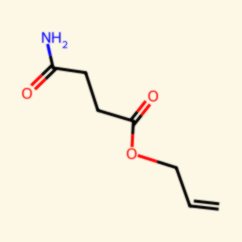 C=CCOC(=O)CCC(N)=O